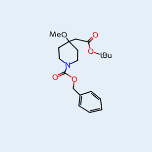 COC1(CC(=O)OC(C)(C)C)CCN(C(=O)OCc2ccccc2)CC1